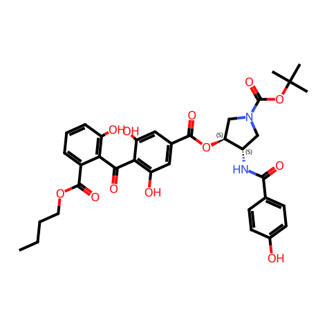 CCCCOC(=O)c1cccc(O)c1C(=O)c1c(O)cc(C(=O)O[C@H]2CN(C(=O)OC(C)(C)C)C[C@@H]2NC(=O)c2ccc(O)cc2)cc1O